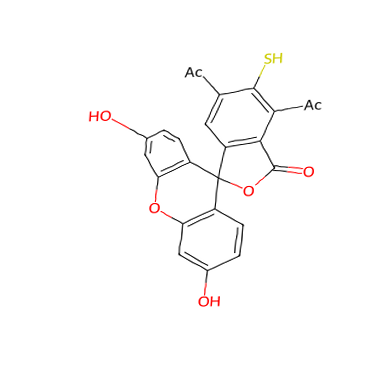 CC(=O)c1cc2c(c(C(C)=O)c1S)C(=O)OC21c2ccc(O)cc2Oc2cc(O)ccc21